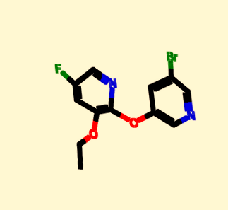 CCOc1cc(F)cnc1Oc1cncc(Br)c1